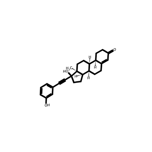 C[C@]12CC[C@@H]3[C@@H](CCC4=CC(=O)CC[C@@H]43)[C@H]1CCC2(O)C#Cc1cccc(O)c1